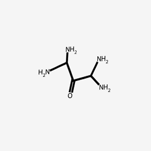 NC(N)C(=O)C(N)N